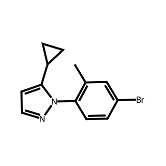 Cc1cc(Br)ccc1-n1nccc1C1CC1